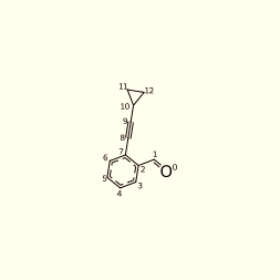 O=Cc1ccccc1C#CC1CC1